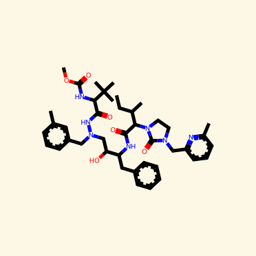 CCC(C)C(C(=O)NC(Cc1ccccc1)C(O)CN(Cc1cccc(C)c1)NC(=O)C(NC(=O)OC)C(C)(C)C)N1CCN(Cc2cccc(C)n2)C1=O